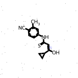 Cc1cc(NC(=S)/C=C(/O)C2CC2)ccc1C#N